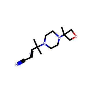 CC(C)(/C=C/C#N)N1CCN(C2(C)COC2)CC1